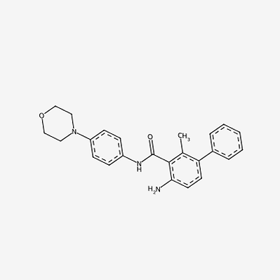 Cc1c(-c2ccccc2)ccc(N)c1C(=O)Nc1ccc(N2CCOCC2)cc1